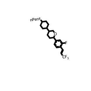 CCCCCC1CCC(C2CCC(c3ccc(/C=C/C(F)(F)F)c(F)c3)OC2)CC1